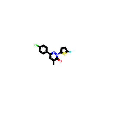 Cc1cc(-c2ccc(Cl)cc2)nn(-c2ccc(F)s2)c1=O